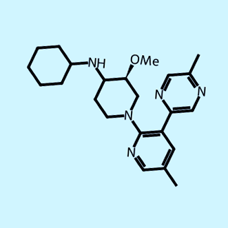 CO[C@H]1CN(c2ncc(C)cc2-c2cnc(C)cn2)CCC1NC1CCCCC1